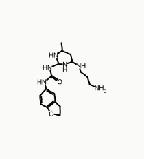 CC1CC(NCCCN)NC(NC(=O)Nc2ccc3c(c2)CCO3)N1